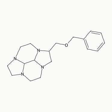 c1ccc(COCC2CN3CCN4CCN5CCN2C3C45)cc1